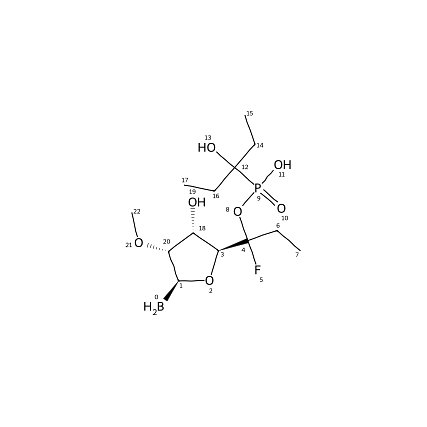 B[C@@H]1O[C@H](C(F)(CC)OP(=O)(O)C(O)(CC)CC)[C@@H](O)[C@H]1OC